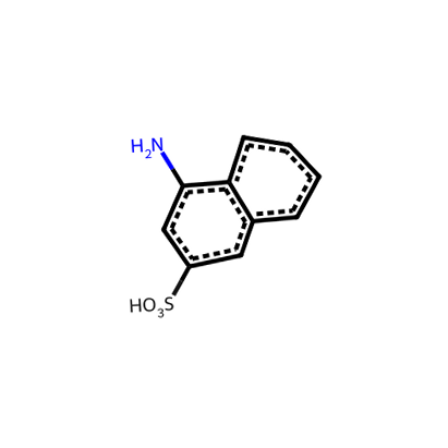 Nc1cc(S(=O)(=O)O)cc2ccccc12